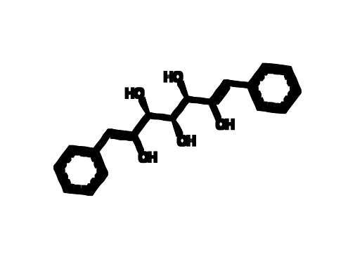 OC(=Cc1ccccc1)[C@@H](O)[C@H](O)[C@@H](O)C(O)=Cc1ccccc1